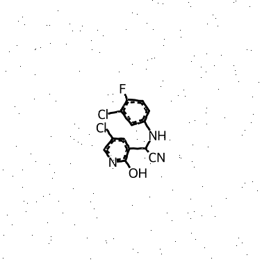 N#CC(Nc1ccc(F)c(Cl)c1)c1cc(Cl)cnc1O